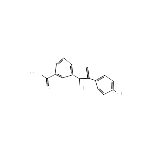 COC(=O)c1cccc(C(C)C(=O)c2ccc(O)cc2)c1